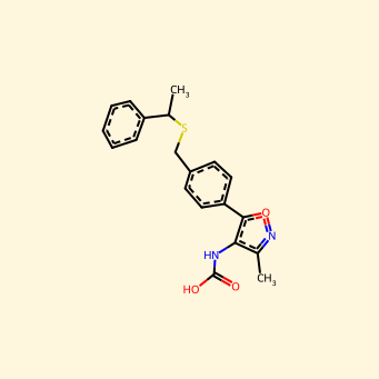 Cc1noc(-c2ccc(CSC(C)c3ccccc3)cc2)c1NC(=O)O